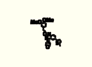 COc1ccc(CCOc2nc(N3CCOCC3)c3cc(-c4ccc(C)s4)ccc3n2)cc1OC